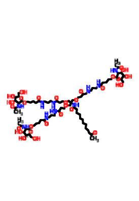 CC(=O)CCCCCCCCCCC(=O)NC(COCCC(=O)CNCCCNC(=O)CCCCO[C@@H]1OC(CO)[C@@H](O)C(O)C1NC(C)=O)(COCCC(=O)NCCCNC(=O)CCCCO[C@@H]1OC(CO)[C@@H](O)C(O)C1NC(C)=O)COCCC(=O)NCCCNC(=O)CCCCO[C@@H]1OC(CO)[C@@H](O)C(O)C1NC(C)=O